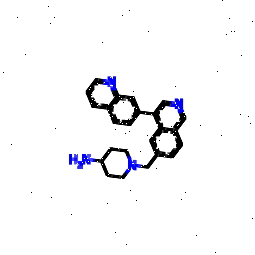 NC1CCN(Cc2ccc3cncc(-c4ccc5cccnc5c4)c3c2)CC1